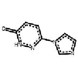 O=c1ccc(-n2ccnc2)n[nH]1